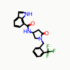 O=C(NC1CC(=O)N(Cc2ccccc2C(F)(F)F)C1)c1cccc2cc[nH]c12